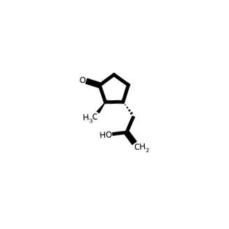 C=C(O)C[C@H]1CCC(=O)[C@@H]1C